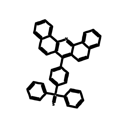 S=P(c1ccccc1)(c1ccccc1)c1ccc(-c2c3ccc4ccccc4c3nc3c2ccc2ccccc23)cc1